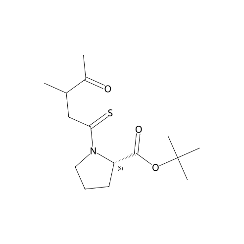 CC(=O)C(C)CC(=S)N1CCC[C@H]1C(=O)OC(C)(C)C